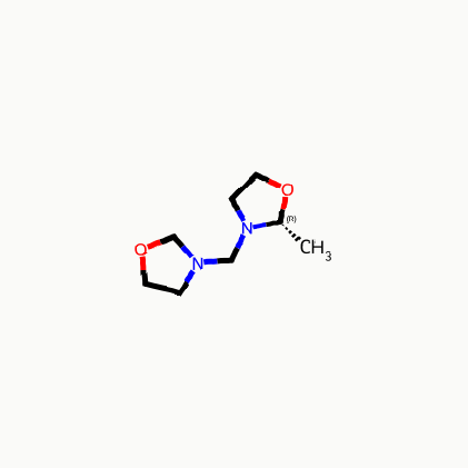 C[C@H]1OCCN1CN1CCOC1